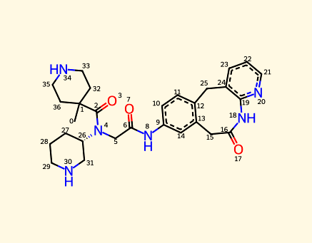 CC1(C(=O)N(CC(=O)Nc2ccc3c(c2)CC(=O)Nc2ncccc2C3)[C@H]2CCCNC2)CCNCC1